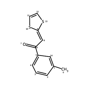 Cc1cccc(C(=O)C=C2SC=CS2)c1